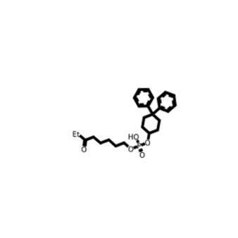 CCC(=O)CCCCCOP(=O)(O)OC1CCC(c2ccccc2)(c2ccccc2)CC1